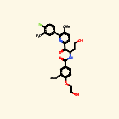 COc1cc(C(=O)NC(CCO)C(=O)c2ccc(OC)c(-c3ccc(F)c(C(F)(F)F)c3)n2)ccc1OCCO